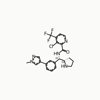 Cn1cc(-c2cccc([C@H](NC(=O)c3nccc(C(F)(F)F)c3Cl)[C@@H]3CCCN3)c2)cn1